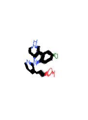 OCCc1cccnc1-n1c2c(c3cc(Cl)ccc31)CNCC2